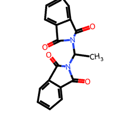 CC(N1C(=O)c2ccccc2C1=O)N1C(=O)c2ccccc2C1=O